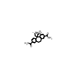 C[C@H](N)CC1(C(N)=O)c2ccc(C(N)=O)cc2CCc2cc(C(N)=O)ccc21